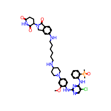 COc1cc(N2CCC(NCCCCCCNc3ccc4c(c3)CN(C3CCC(=O)NC3=O)C4=O)CC2)ccc1Nc1ncc(Cl)c(Nc2ccccc2P(C)(C)=O)n1